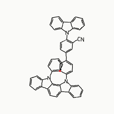 N#Cc1cc(-c2ccc(-n3c4ccccc4c4ccc5c6ccccc6n(-c6ccccc6)c5c43)cc2)ccc1-n1c2ccccc2c2ccccc21